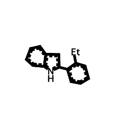 CCc1ccccc1-c1cc2ccccc2[nH]1